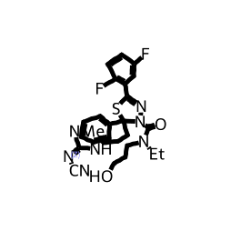 CCN(CCCO)C(=O)N1N=C(c2cc(F)ccc2F)SC1(CCCN/C(=N\C#N)NC)c1ccccc1